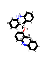 C1=CCC2=[AsH](Oc3cccc4c3=[As]c3ccccc3N=4)c3ccccc3NC2=C1